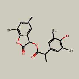 Cc1cc2c(c(C(C)(C)C)c1)OC(=O)C2OC(=O)C(C)c1cc(C(C)(C)C)c(O)c(C(C)(C)C)c1